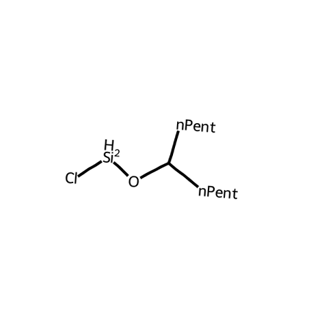 CCCCCC(CCCCC)O[SiH2]Cl